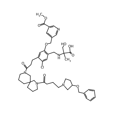 COC(=O)c1cncc(COc2cc(CCC(=O)N3CCCC4(CCCN(C(=O)CCCN5CCC(OCc6ccccc6)C5)C4)C3)c(Cl)cc2CNC(C)(CO)C(=O)O)c1